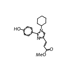 COC(=O)/C=C/c1cn(C2CCCCC2)c(-c2ccc(O)cc2)n1